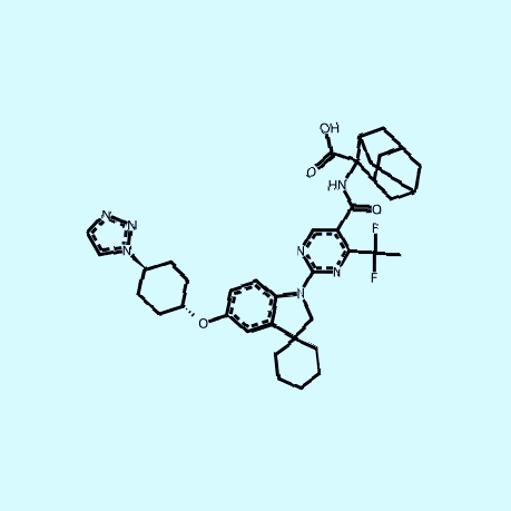 CC(F)(F)c1nc(N2CC3(CCCCC3)c3cc(O[C@H]4CC[C@H](n5ccnn5)CC4)ccc32)ncc1C(=O)NC1(C(=O)O)C2CC3CC(C2)CC1C3